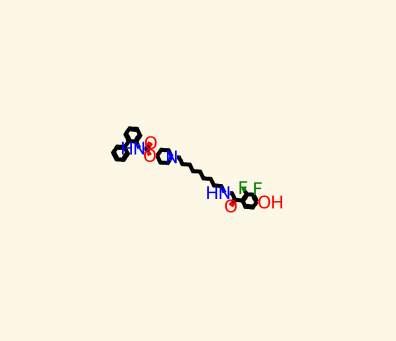 O=C(Nc1ccccc1-c1ccccc1)OC1CCN(CCCCCCCCCNCC(=O)c2ccc(O)c(F)c2F)CC1